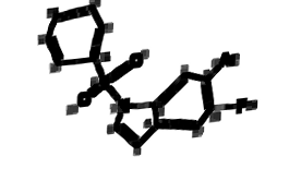 CC(=O)c1cc2c(ccn2S(=O)(=O)c2ccccc2)cc1F